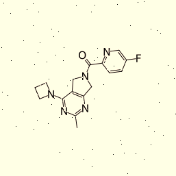 Cc1nc2c(c(N3CCC3)n1)CN(C(=O)c1ccc(F)cn1)C2